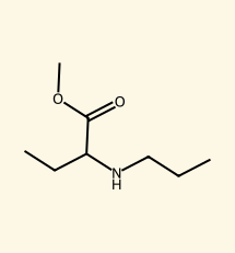 CCCNC(CC)C(=O)OC